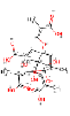 CC(=COC(C=C(C)C(=O)O)(C=C(C)C(=O)O)C(CO)(CO)C(O)(C=C(C)C(=O)O)C=C(C)C(=O)O)C(=O)O